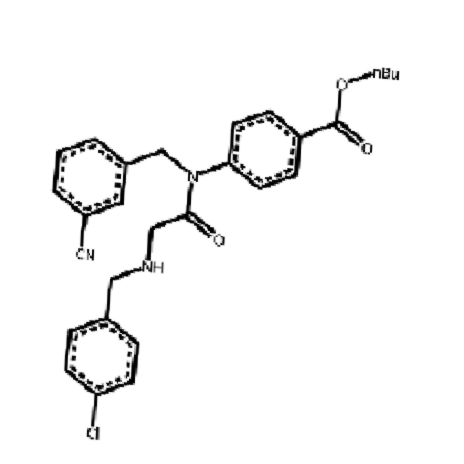 CCCCOC(=O)c1ccc(N(Cc2cccc(C#N)c2)C(=O)CNCc2ccc(Cl)cc2)cc1